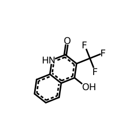 O=c1[nH]c2ccccc2c(O)c1C(F)(F)F